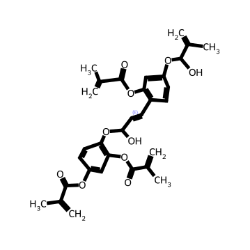 C=C(C)C(=O)Oc1ccc(OC(O)/C=C/c2ccc(OC(O)C(=C)C)cc2OC(=O)C(=C)C)c(OC(=O)C(=C)C)c1